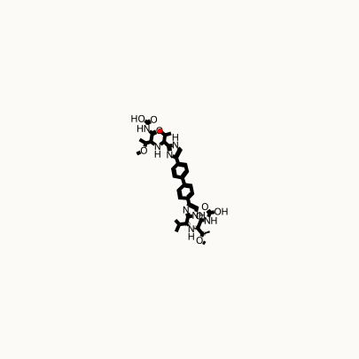 COC(C)C(NC(c1nc(-c2ccc(-c3ccc(-c4c[nH]c([C@@H](N[C@H](C(=O)NC(=O)O)[C@@H](C)OC)C(C)C)n4)cc3)cc2)c[nH]1)C(C)C)C(=O)NC(=O)O